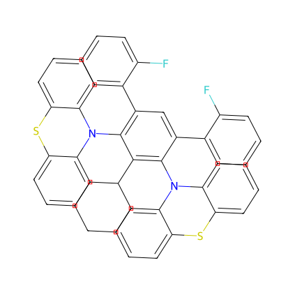 Fc1ccccc1-c1cc(-c2ccccc2F)c(N2c3ccccc3Sc3ccccc32)c(C2CCCCC2)c1N1c2ccccc2Sc2ccccc21